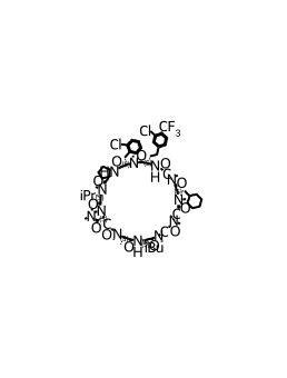 CC[C@H](C)[C@@H]1NC(=O)[C@H](C)N(C)C(=O)C[C@@H](C(=O)N(C)C)N(C)C(=O)[C@H](C(C)C)N(C)C(=O)C2(CCCC2)NC(=O)[C@H](Cc2ccccc2Cl)N(C)C(=O)[C@H](CCc2ccc(C(F)(F)F)c(Cl)c2)NC(=O)CN(C)C(=O)[C@H](CC2CCCCC2)N(C)C(=O)CN(C)C(=O)CN(C)C1=O